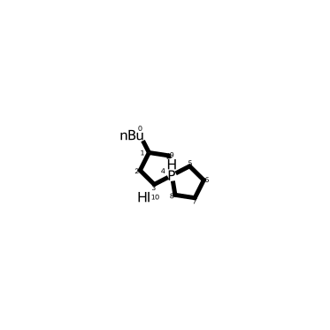 CCCCC1CC[PH]2(CCCC2)C1.I